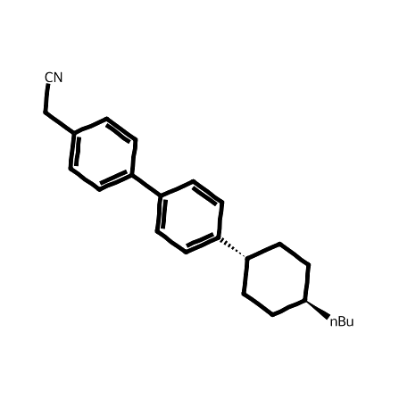 CCCC[C@H]1CC[C@H](c2ccc(-c3ccc(CC#N)cc3)cc2)CC1